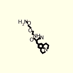 N#C/C(=C\c1cc2c3c(c1)CCCN3CCC2)C(=O)NCCOCCON